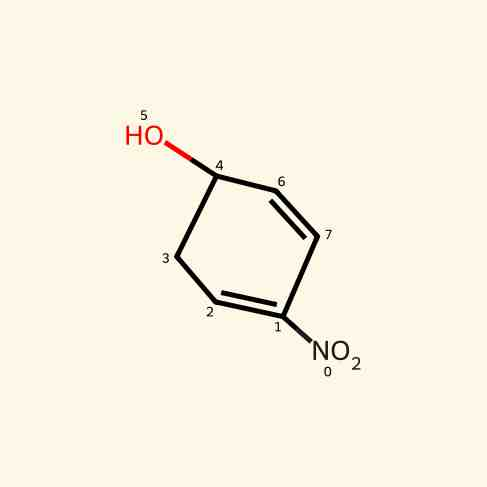 O=[N+]([O-])C1=CCC(O)C=C1